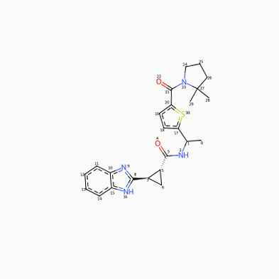 CC(NC(=O)[C@@H]1C[C@H]1c1nc2ccccc2[nH]1)c1ccc(C(=O)N2CCCC2(C)C)s1